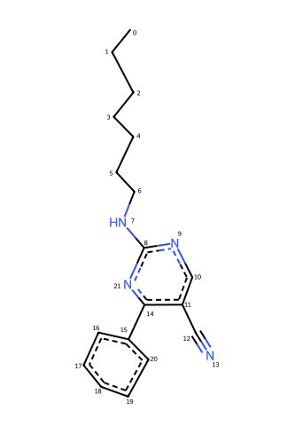 CCCCCCCNc1ncc(C#N)c(-c2ccccc2)n1